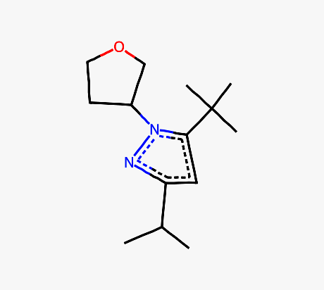 CC(C)c1cc(C(C)(C)C)n(C2CCOC2)n1